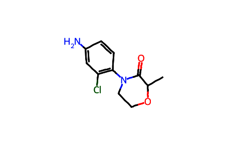 CC1OCCN(c2ccc(N)cc2Cl)C1=O